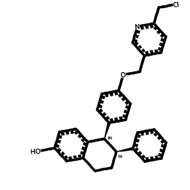 Oc1ccc2c(c1)CC[C@H](c1ccccc1)[C@@H]2c1ccc(OCc2ccc(CCl)nc2)cc1